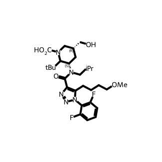 COCCCCc1c(C(=O)N(CC(C)C)[C@H]2C[C@@H](CO)CN(C(=O)O)C2C(C)(C)C)nnn1-c1c(F)cccc1F